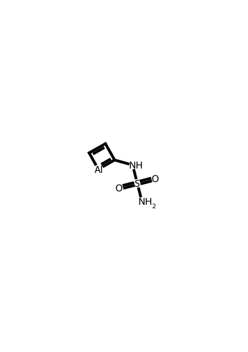 NS(=O)(=O)N[C]1=[Al][CH]=C1